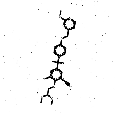 COC(COc1c(Cl)cc(C(C)(C)c2ccc(OCc3ccnc(SC)n3)cc2)cc1C#N)OC